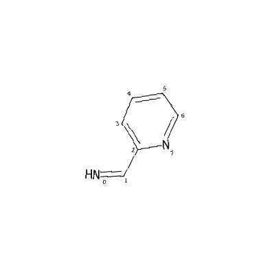 N=Cc1ccccn1